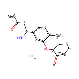 COC(=O)CC(N)c1ccc(OC)c(OC2C(=O)C3CCC2C3)c1.Cl